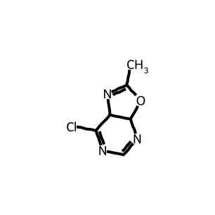 CC1=NC2C(Cl)=NC=NC2O1